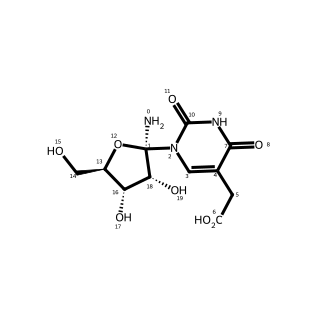 N[C@@]1(n2cc(CC(=O)O)c(=O)[nH]c2=O)O[C@H](CO)[C@@H](O)[C@H]1O